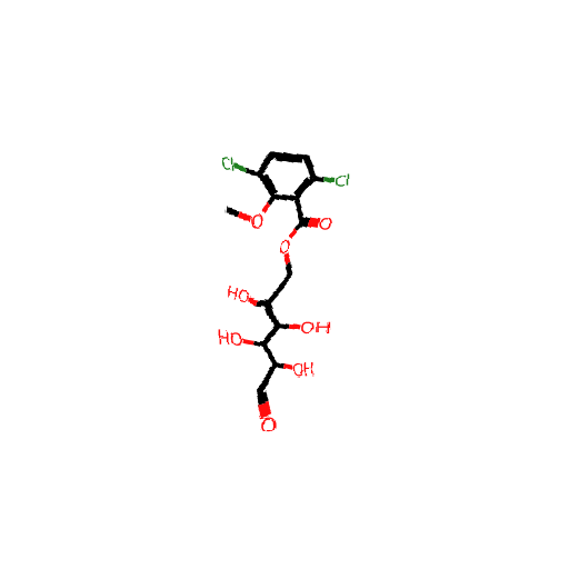 COc1c(Cl)ccc(Cl)c1C(=O)OCC(O)C(O)C(O)C(O)C=O